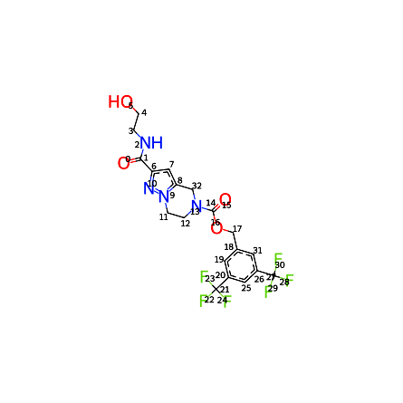 O=C(NCCO)c1cc2n(n1)CCN(C(=O)OCc1cc(C(F)(F)F)cc(C(F)(F)F)c1)C2